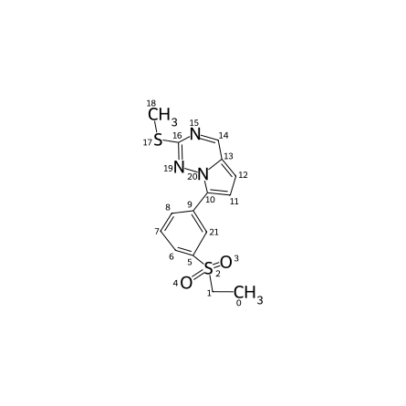 CCS(=O)(=O)c1cccc(-c2ccc3cnc(SC)nn23)c1